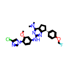 COc1cc(Nc2nc3c(c(N(C)C)n2)CC[C@@H]3c2ccc(OCF)cc2)ccc1-n1cnc(Cl)c1